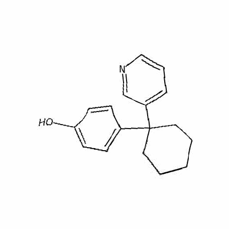 Oc1ccc(C2(c3cccnc3)CCCCC2)cc1